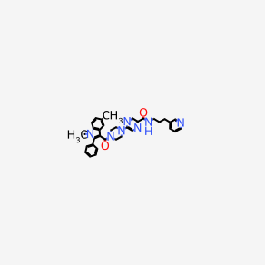 Cc1ccc2c(c1)c(C(=O)N1CCN(c3cnc(C(=O)NCCCc4cccnc4)cn3)CC1)c(-c1ccccc1)n2C